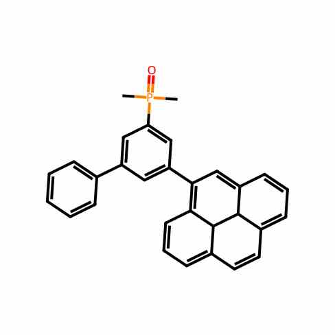 CP(C)(=O)c1cc(C2=C3C=CC=C4C=CC5=CC=CC(=C2)C5C43)cc(-c2ccccc2)c1